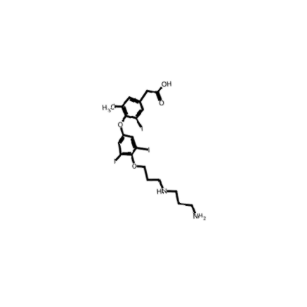 Cc1cc(CC(=O)O)cc(I)c1Oc1cc(I)c(OCCCNCCCN)c(I)c1